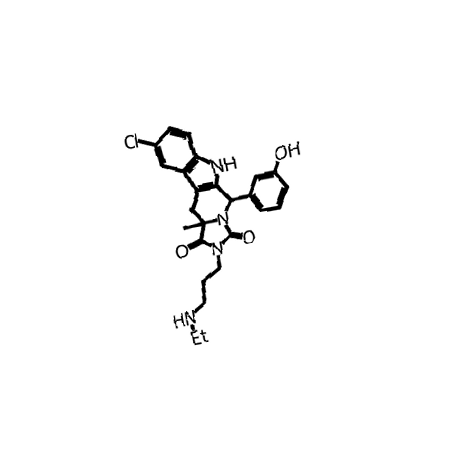 CCNCCCN1C(=O)N2C(c3cccc(O)c3)c3[nH]c4ccc(Cl)cc4c3CC2(C)C1=O